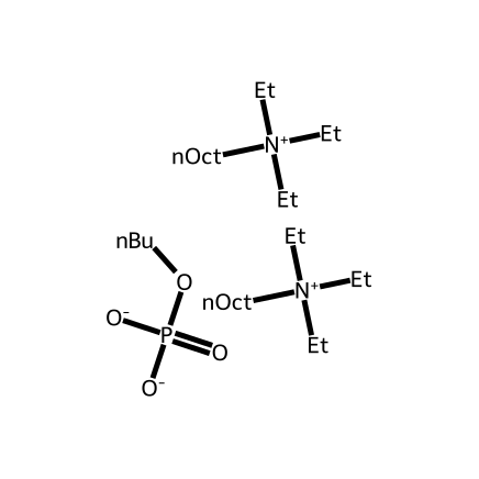 CCCCCCCC[N+](CC)(CC)CC.CCCCCCCC[N+](CC)(CC)CC.CCCCOP(=O)([O-])[O-]